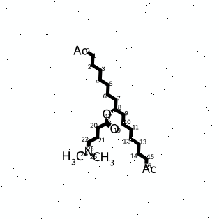 CC(=O)CCCCCCCC(CCCCCCCC(C)=O)OC(=O)CCCN(C)C